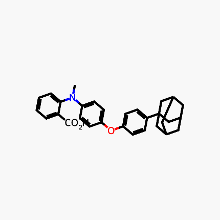 CN(c1ccc(Oc2ccc(C34CC5CC(CC(C5)C3)C4)cc2)cc1)c1ccccc1C(=O)O